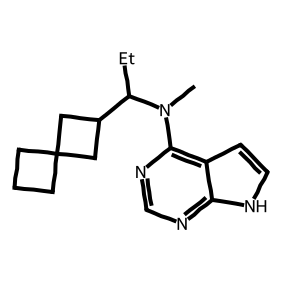 CCC(C1CC2(CCC2)C1)N(C)c1ncnc2[nH]ccc12